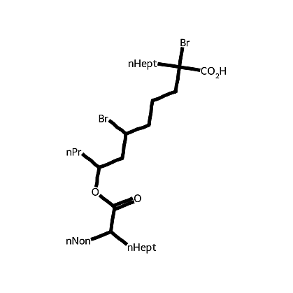 CCCCCCCCCC(CCCCCCC)C(=O)OC(CCC)CC(Br)CCCC(Br)(CCCCCCC)C(=O)O